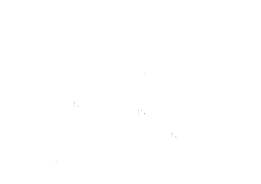 CCOC(=O)c1cccnc1NCc1cncc(Br)c1